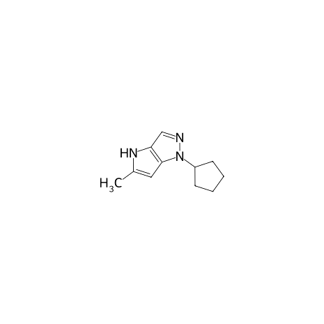 Cc1cc2c(cnn2C2CCCC2)[nH]1